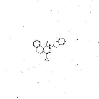 O=C(NC1Cc2ccccc2C1)C1c2ccccc2CCN1C(=O)C1CC1